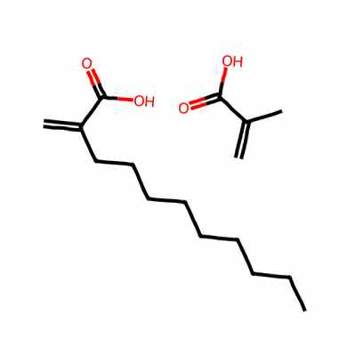 C=C(C)C(=O)O.C=C(CCCCCCCCC)C(=O)O